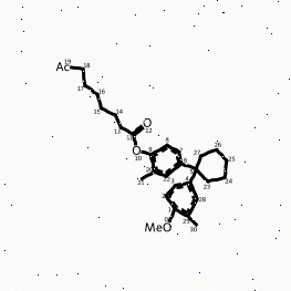 COc1ccc(C2(c3ccc(OC(=O)CCCCCCC(C)=O)c(C)c3)CCCCC2)cc1C